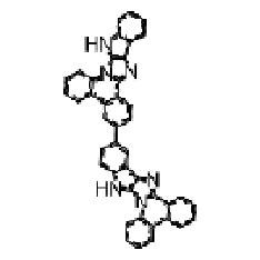 c1ccc2c(c1)[nH]c1c2nc2c3ccc(-c4ccc5[nH]c6c(nc7c8ccccc8c8ccccc8n76)c5c4)cc3c3ccccc3n21